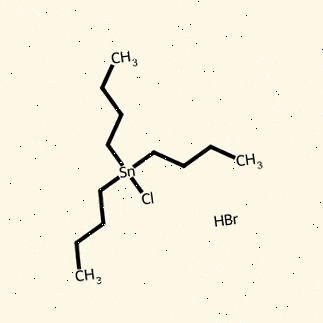 Br.CCC[CH2][Sn]([Cl])([CH2]CCC)[CH2]CCC